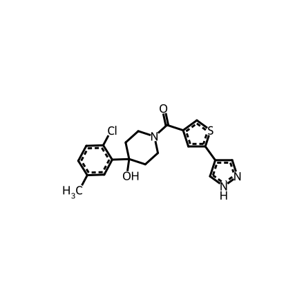 Cc1ccc(Cl)c(C2(O)CCN(C(=O)c3csc(-c4cn[nH]c4)c3)CC2)c1